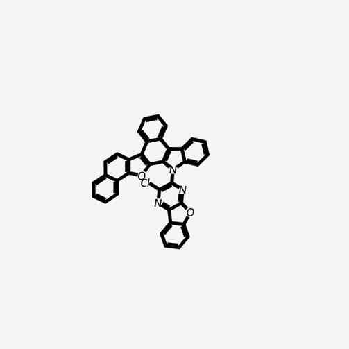 Clc1nc2c(nc1-n1c3ccccc3c3c4ccccc4c4c5ccc6ccccc6c5oc4c31)oc1ccccc12